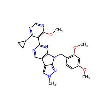 COc1ccc(Cn2c3nc(-c4c(OC)ncnc4C4CC4)ncc3c3cn(C)nc32)c(OC)c1